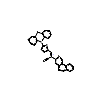 N#C/C(=C\c1ccc(N2c3ccccc3Sc3ccccc32)s1)c1cc2ccc3ccccc3c2cn1